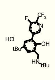 CC(C)(C)NCc1cc(C(C)(C)C)cc(-c2cnc(C(F)(F)F)c(F)c2)c1O.Cl